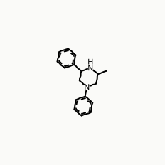 CC1CN(c2ccccc2)CC(c2ccccc2)N1